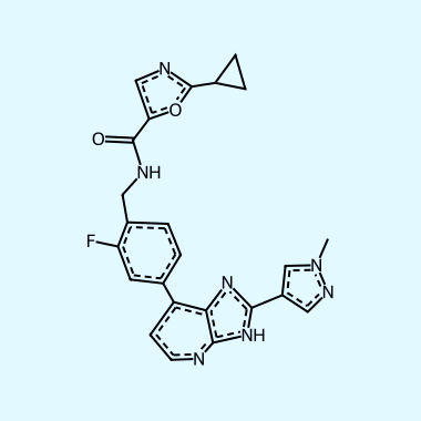 Cn1cc(-c2nc3c(-c4ccc(CNC(=O)c5cnc(C6CC6)o5)c(F)c4)ccnc3[nH]2)cn1